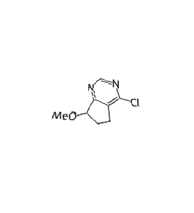 COC1CCc2c(Cl)ncnc21